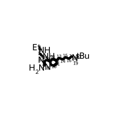 CCNCc1nc2c(N)nc3ccc(CCCCCN(C)C(C)(C)C)cc3c2[nH]1